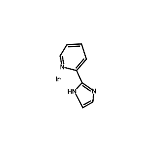 [Ir].c1ccc(-c2ncc[nH]2)nc1